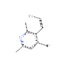 CC/C=C\c1c(C(C)C)cc(C)nc1C